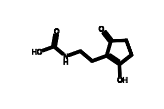 O=C(O)NCCC1=C(O)CCC1=O